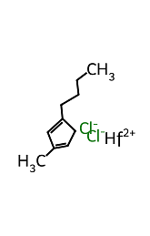 CCCCC1=CC(C)=CC1.[Cl-].[Cl-].[Hf+2]